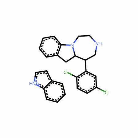 Clc1ccc(Cl)c(C2CNCCN3c4ccccc4CC23)c1.c1ccc2[nH]ccc2c1